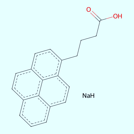 O=C(O)CCCc1ccc2ccc3cccc4ccc1c2c34.[NaH]